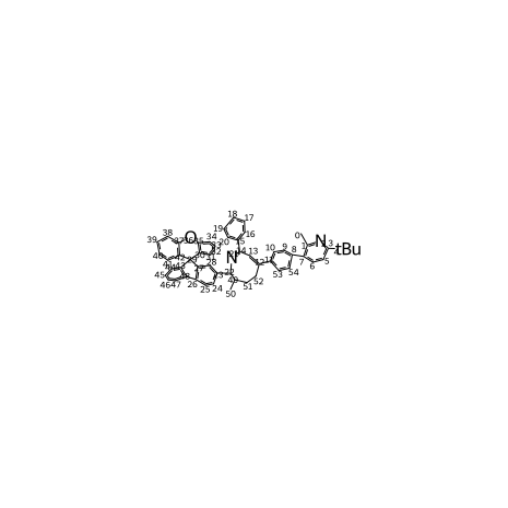 Cc1nc(C(C)(C)C)ccc1-c1ccc(/C2=C/C(c3ccccc3)=N\C(c3ccc4c(c3)C3(c5ccccc5Oc5ccccc53)c3ccccc3-4)C(C)CC2)cc1